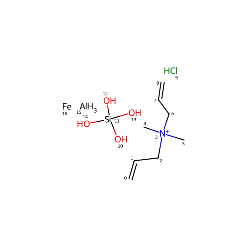 C=CC[N+](C)(C)CC=C.Cl.O[Si](O)(O)O.[AlH3].[Fe]